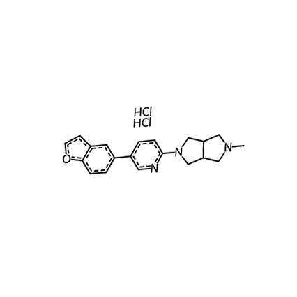 CN1CC2CN(c3ccc(-c4ccc5occc5c4)cn3)CC2C1.Cl.Cl